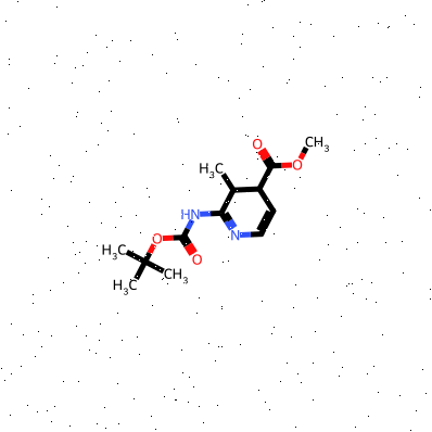 COC(=O)C1C=CN=C(NC(=O)OC(C)(C)C)C1C